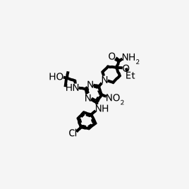 CCOC1(C(N)=O)CCN(c2nc(NCC(C)(C)O)nc(Nc3ccc(Cl)cc3)c2[N+](=O)[O-])CC1